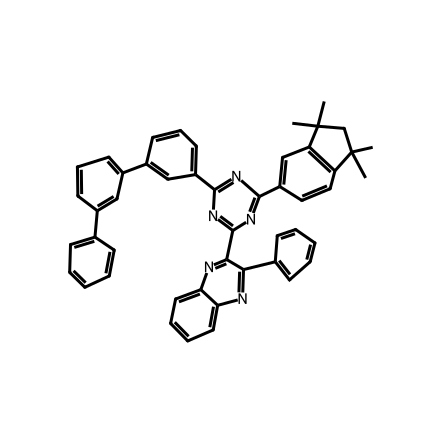 CC1(C)CC(C)(C)c2cc(-c3nc(-c4cccc(-c5cccc(-c6ccccc6)c5)c4)nc(-c4nc5ccccc5nc4-c4ccccc4)n3)ccc21